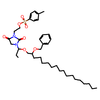 CCCCCCCCCCCCCCCCC(COC(CC)N1CC(=O)N(CCOS(=O)(=O)c2ccc(C)cc2)C1=O)OCc1ccccc1